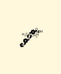 CC1CN(Cc2cccc(CN3CCCC3)c2)CC(C)N1Cc1ccc(C(=O)NO)cc1